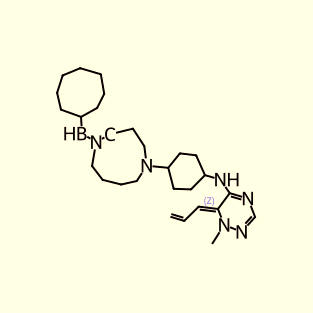 C=C/C=C1/C(NC2CCC(N3CCCCN(BC4CCCCCCC4)CCC3)CC2)=NC=NN1C